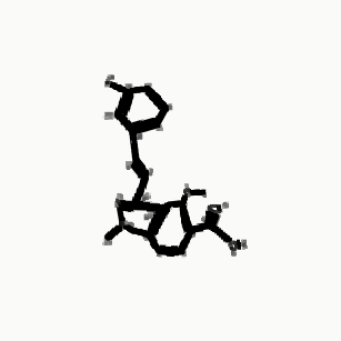 COc1c(C(=O)O)ccc2c1c(/C=C/c1cccc(F)c1)nn2C